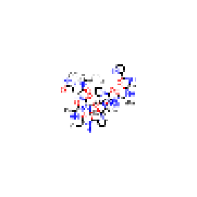 CC[C@H](C)[C@H](NC(=O)[C@H](C)NC(=O)[C@@H]1CCCN1)C(=O)N[C@@H](CCC(=O)O)C(=O)N1CCC[C@H]1C(=O)N[C@H](C(=O)N1CCC[C@H]1C(=O)N[C@@H](CC(C)C)C(=O)N[C@H](C(=O)N[C@@H](CCCCN)C(=O)N[C@@H](CCC(N)=O)C(=O)N[C@@H](CC(=O)O)C(=O)O)C(C)C)C(C)C